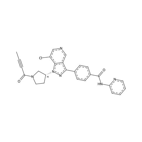 CC#CC(=O)N1CC[C@@H](n2nc(-c3ccc(C(=O)Nc4ccccn4)cc3)c3cncc(Cl)c32)C1